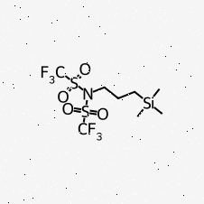 C[Si](C)(C)CCCN(S(=O)(=O)C(F)(F)F)S(=O)(=O)C(F)(F)F